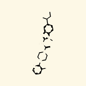 C=C(Nc1nc2cc(C(C)CC)ccc2n1C)N1CCN(c2ncccc2Cl)CC1